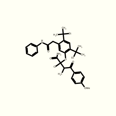 CCC(C)(C)c1cc(C(C)(C)CC)c(OC(Cl)(C(N)=O)C(C)C(=O)c2ccc(OC)cc2)cc1CC(=O)Nc1ccccc1